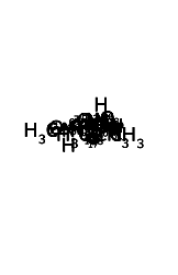 COCCNc1ccc(Oc2cc(-c3c(C)cccc3C)nc(NS(=O)(=O)c3cnn(C)c3)n2)cn1